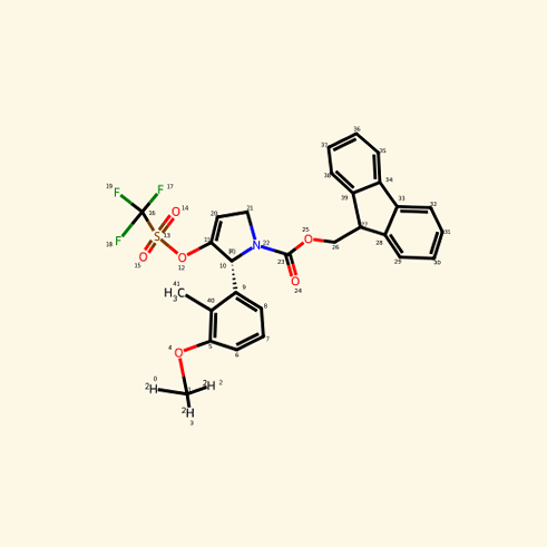 [2H]C([2H])([2H])Oc1cccc([C@@H]2C(OS(=O)(=O)C(F)(F)F)=CCN2C(=O)OCC2c3ccccc3-c3ccccc32)c1C